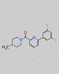 CC1CCN(C(=O)c2cccc(-c3cc(F)cc(F)c3)n2)CC1